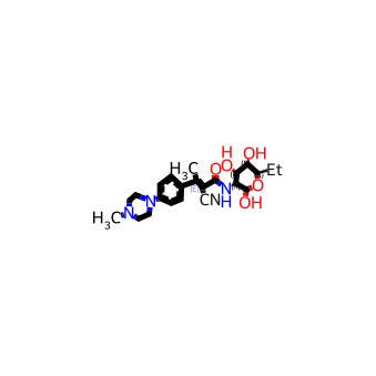 CC[C@H]1OC(O)[C@H](NC(=O)/C(C#N)=C(\C)c2ccc(N3CCN(C)CC3)cc2)[C@@H](O)[C@@H]1O